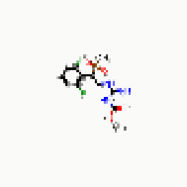 COC(=O)NC(=N)NCC(c1c(F)cccc1F)S(C)(=O)=O